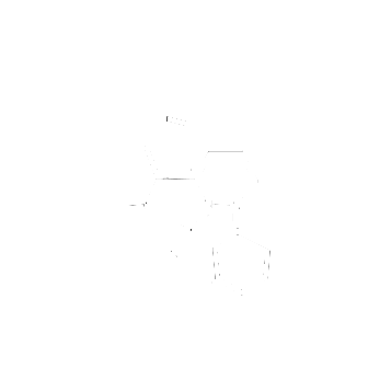 CC(N)(c1ccccc1)N1NC=CC=C1/C(=C\C(=O)O)C(=O)O